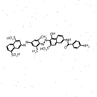 Cc1cc(/N=N/c2cc(S(=O)(=O)O)c3cccc(S(=O)(=O)O)c3c2)cc(C)c1/N=N/c1c(S(=O)(=O)O)cc2cc(NC(=O)c3ccc(N)cc3)ccc2c1O